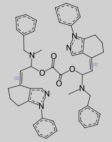 CN(Cc1ccccc1)C(/C=C1/CCCc2c1cnn2-c1ccccc1)OC(=O)C(=O)OC(/C=C1/CCCc2c1cnn2-c1ccccc1)N(C)Cc1ccccc1